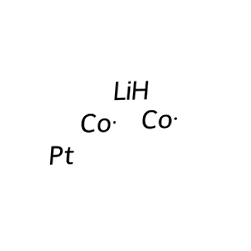 [Co].[Co].[LiH].[Pt]